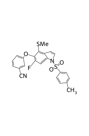 CSc1c(Oc2cccc(C#N)c2)c(F)cc2c1ccn2S(=O)(=O)c1ccc(C)cc1